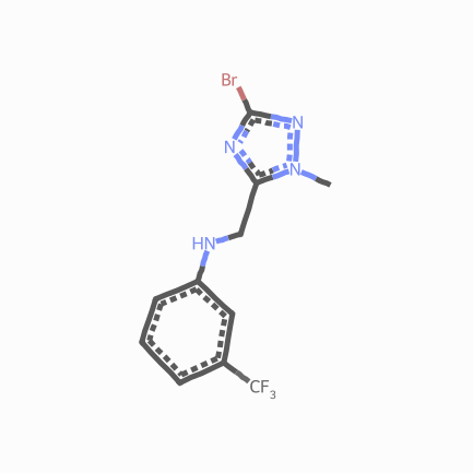 Cn1nc(Br)nc1CNc1cccc(C(F)(F)F)c1